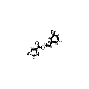 Cn1cnc(C(=O)ON=Cc2cccc(Br)c2)c1